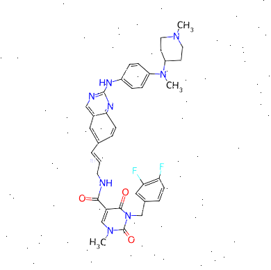 CN1CCC(N(C)c2ccc(Nc3ncc4cc(/C=C/CNC(=O)c5cn(C)c(=O)n(Cc6ccc(F)c(F)c6)c5=O)ccc4n3)cc2)CC1